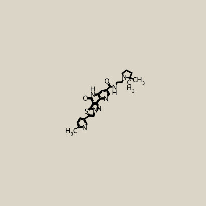 Cc1ccc(-c2cn3nc4c5ncc(C(=O)NCCN6CCCC6(C)C)cc5[nH]c(=O)c4c3s2)cn1